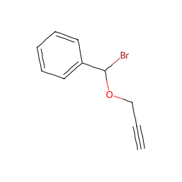 C#CCOC(Br)c1ccccc1